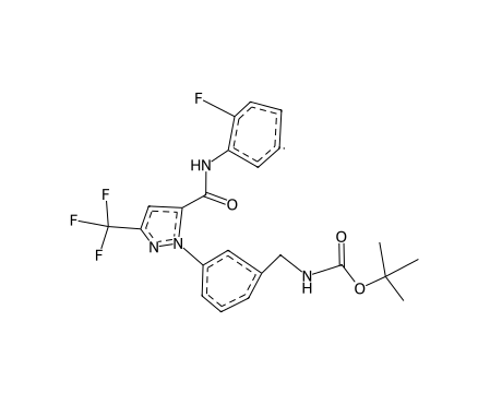 CC(C)(C)OC(=O)NCc1cccc(-n2nc(C(F)(F)F)cc2C(=O)Nc2c[c]ccc2F)c1